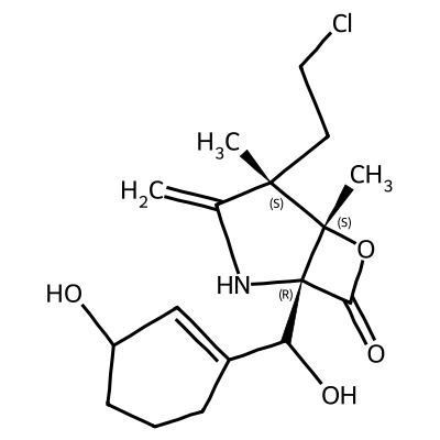 C=C1N[C@@]2(C(O)C3=CC(O)CCC3)C(=O)O[C@@]2(C)[C@@]1(C)CCCl